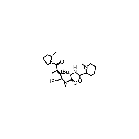 C/C(=C\C(C(C)C)N(C)C(=O)[C@@H](NC(=O)C1CCCCN1C)C(C)(C)C)C(=O)N1CCC[C@H]1C